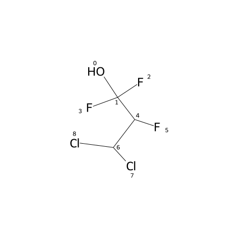 OC(F)(F)C(F)C(Cl)Cl